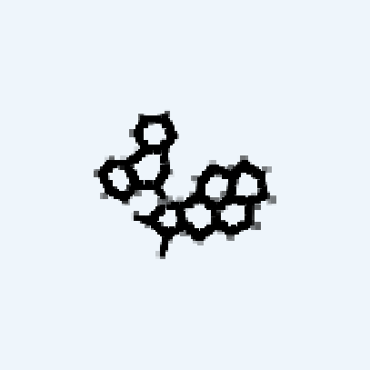 Cc1c(C)n(-c2cc3ccccc3c3ccccc23)c2c1cc1ccc3cccc4ccc2c1c34